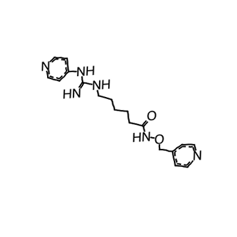 N=C(NCCCCCC(=O)NOCc1ccncc1)Nc1ccncc1